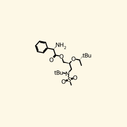 C[C@H](O[C@H](COC(=O)[C@@H](N)c1ccccc1)CN(C(C)(C)C)S(C)(=O)=O)C(C)(C)C